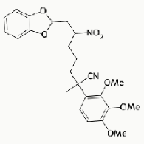 COc1ccc(C(C)(C#N)CCCC(CC2Oc3ccccc3O2)[N+](=O)[O-])c(OC)c1OC